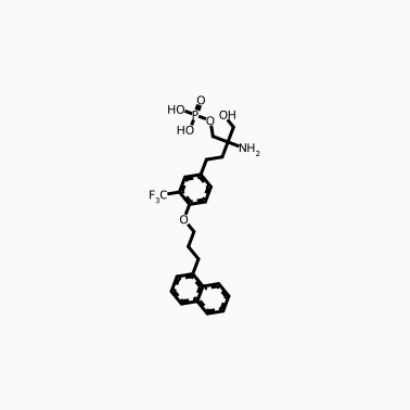 NC(CO)(CCc1ccc(OCCCc2cccc3ccccc23)c(C(F)(F)F)c1)COP(=O)(O)O